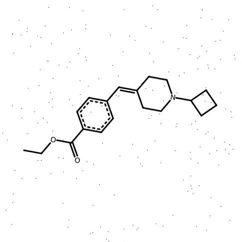 CCOC(=O)c1ccc(C=C2CCN(C3CCC3)CC2)cc1